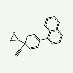 C#CC1(C2CO2)C=CC(c2cccc3ccccc23)=CC1